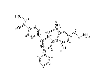 COC(=O)c1ccc(-c2nc(-c3ccccc3)nc(-c3c(O)cc(OCN)cc3C(N)=O)n2)cc1